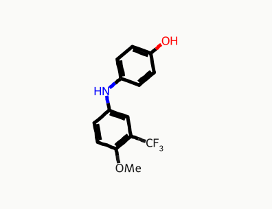 COc1ccc(Nc2ccc(O)cc2)cc1C(F)(F)F